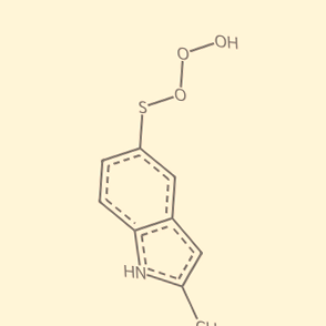 Cc1cc2cc(SOOO)ccc2[nH]1